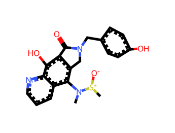 CN(c1c2c(c(O)c3ncccc13)C(=O)N(Cc1ccc(O)cc1)C2)[S+](C)[O-]